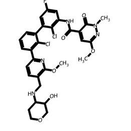 COc1cc(C(=O)Nc2cc(F)cc(-c3cccc(-c4ccc(CNC5CCOCC5O)c(OC)n4)c3Cl)c2Cl)c(=O)n(C)n1